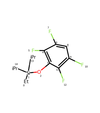 CC[Si](Oc1c(F)c(F)[c]c(F)c1F)(C(C)C)C(C)C